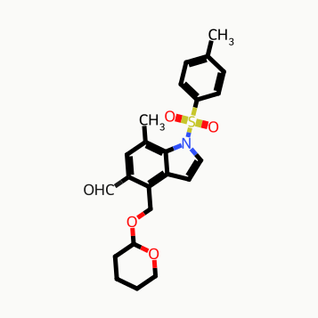 Cc1ccc(S(=O)(=O)n2ccc3c(COC4CCCCO4)c(C=O)cc(C)c32)cc1